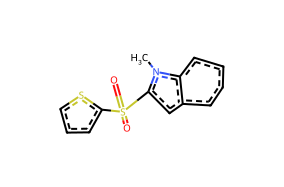 Cn1c(S(=O)(=O)c2cccs2)cc2ccccc21